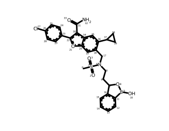 CS(=O)(=O)N(CCC1OB(O)c2ccccc21)Cc1cc2oc(-c3ccc(Cl)cc3)c(C(N)=O)c2cc1C1CC1